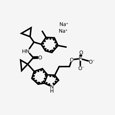 Cc1ccc(C(NC(=O)C2(c3ccc4[nH]cc(CCOP(=O)([O-])[O-])c4c3)CC2)C2CC2)c(C)c1.[Na+].[Na+]